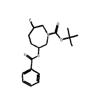 CC(C)(C)OC(=O)N1CC(F)CCC(OC(=O)c2ccccc2)C1